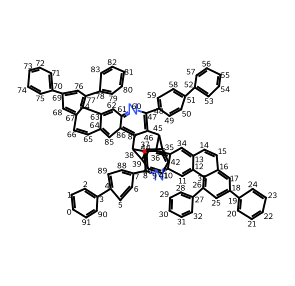 c1ccc(-c2ccc(-c3nc4cc5c(ccc6cc(-c7ccccc7)cc(-c7ccccc7)c65)cc4c4c3C3c5cccc(c5)C4c4c(-c5ccc(-c6ccccc6)cc5)nc5cc6c(ccc7cc(-c8ccccc8)cc(-c8ccccc8)c76)cc5c43)cc2)cc1